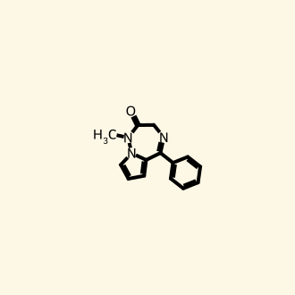 CN1C(=O)CN=C(c2ccccc2)c2cccn21